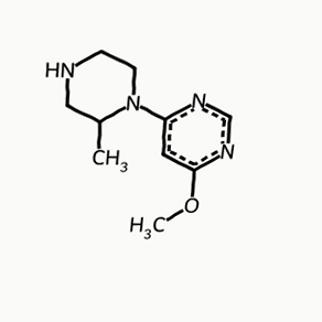 COc1cc(N2CCNCC2C)ncn1